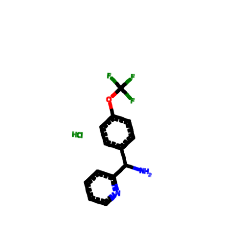 Cl.NC(c1ccc(OC(F)(F)F)cc1)c1ccccn1